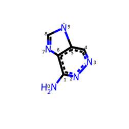 Nc1nncc2c1N=C[N]2